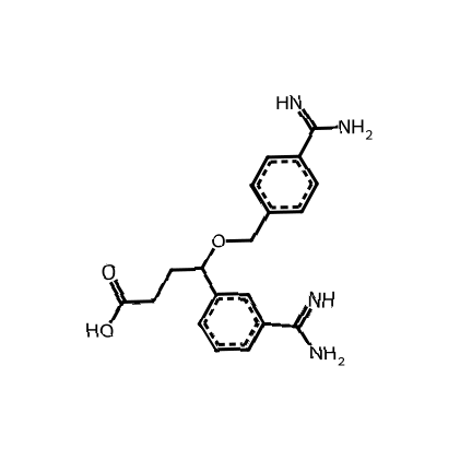 N=C(N)c1ccc(COC(CCC(=O)O)c2cccc(C(=N)N)c2)cc1